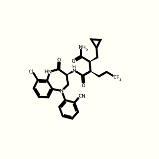 N#Cc1ccccc1N1C[C@H](NC(=O)[C@H](CCC(F)(F)F)[C@H](CC2CC2)C(N)=O)C(=O)Nc2c(Cl)cccc21